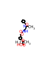 Cc1oc(-c2ccccc2)nc1CCNC(=O)OCc1cccc(OC(C)(C)C(=O)O)c1